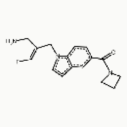 NCC(=CF)Cn1ccc2cc(C(=O)N3CCC3)ccc21